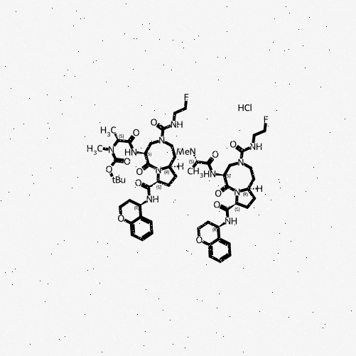 CN[C@@H](C)C(=O)N[C@H]1CN(C(=O)NCCF)CC[C@H]2CC[C@@H](C(=O)N[C@@H]3CCOc4ccccc43)N2C1=O.C[C@@H](C(=O)N[C@H]1CN(C(=O)NCCF)CC[C@H]2CC[C@@H](C(=O)N[C@@H]3CCOc4ccccc43)N2C1=O)N(C)C(=O)OC(C)(C)C.Cl